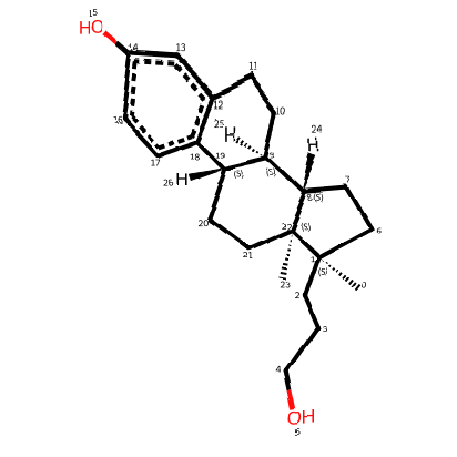 C[C@@]1(CCCO)CC[C@H]2[C@@H]3CCc4cc(O)ccc4[C@H]3CC[C@@]21C